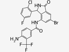 Nc1ccc(C(=O)Nc2cc(Br)cc3c2C(c2cc(F)ccc2Cl)NC3=O)cc1C(F)(F)F